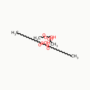 CCCC(=O)OCC(CO)OC(=O)CCC.CCCCCCCCCCCCCCCCCC(=O)OCC(O)COC(=O)CCCCCCCCCCCCCCCCC